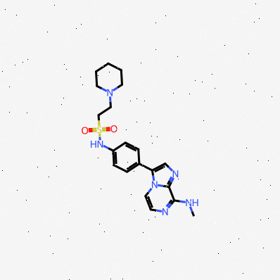 CNc1nccn2c(-c3ccc(NS(=O)(=O)CCN4CCCCC4)cc3)cnc12